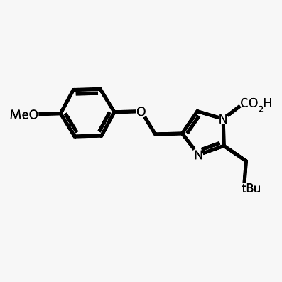 COc1ccc(OCc2cn(C(=O)O)c(CC(C)(C)C)n2)cc1